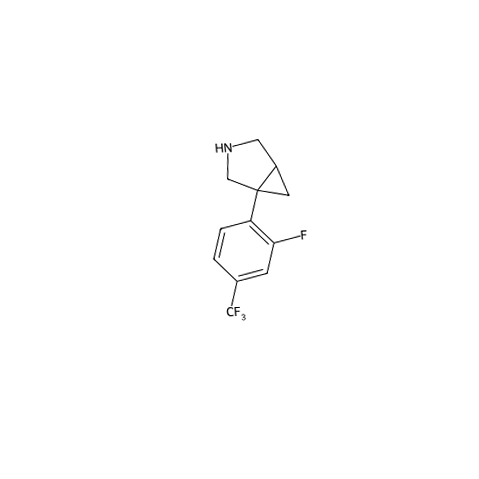 Fc1cc(C(F)(F)F)ccc1C12CNCC1C2